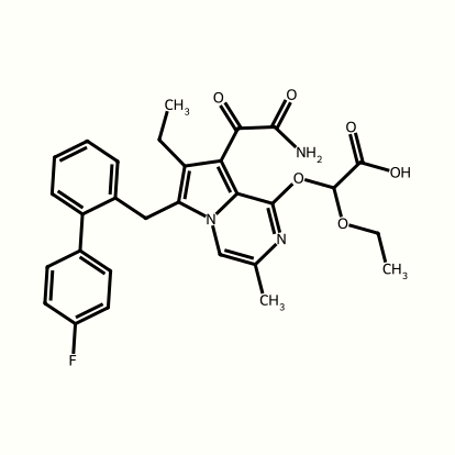 CCOC(Oc1nc(C)cn2c(Cc3ccccc3-c3ccc(F)cc3)c(CC)c(C(=O)C(N)=O)c12)C(=O)O